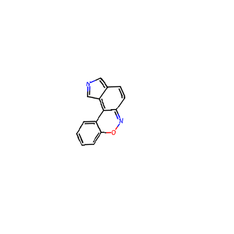 c1ccc2c(c1)onc1ccc3cncc3c12